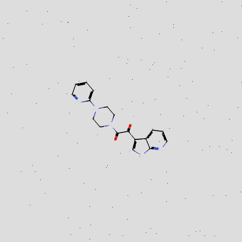 C[C@@H]1CN(c2ccccn2)CCN1C(=O)C(=O)c1c[nH]c2ncccc12